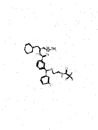 CNC[C@H](CC1CCCCC1)NC(=O)c1cccc(C(OCCNC(=O)C(F)(F)F)c2cccc(Cl)c2)c1